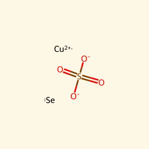 O=S(=O)([O-])[O-].[Cu+2].[Se]